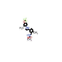 COC(=O)NCc1cc(-c2ccn(-c3ccc(OC(F)(F)F)cc3C)n2)ccc1C